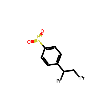 CC(C)CC(c1ccc([SH](=O)=O)cc1)C(C)C